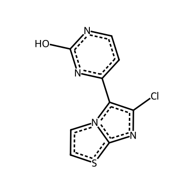 Oc1nccc(-c2c(Cl)nc3sccn23)n1